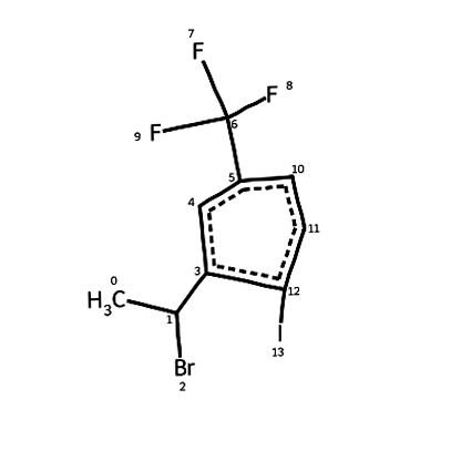 CC(Br)c1cc(C(F)(F)F)ccc1I